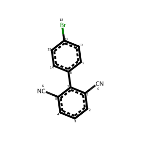 N#Cc1cccc(C#N)c1-c1ccc(Br)cc1